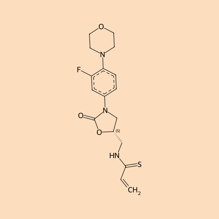 C=CC(=S)NC[C@H]1CN(c2ccc(N3CCOCC3)c(F)c2)C(=O)O1